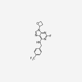 Fc1nc(NCc2ccc(C(F)(F)F)cc2)c2ncn(C3CCO3)c2n1